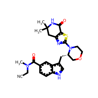 CN(CC#N)C(=O)c1ccc2[nH]cc(C[C@H]3COCCN3c3nc4c(s3)C(=O)NC(C)(C)C4)c2c1